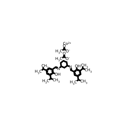 CC(=O)[O-].CC(=O)[O-].CC(C)c1cc(C=NC2CCCC(N=Cc3cc(C(C)C)cc(C(C)C)c3O)C2)c(O)c(C(C)C)c1.[Co+2]